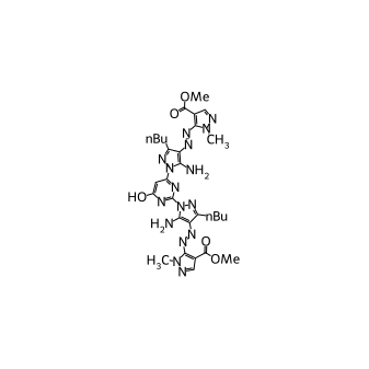 CCCCc1nn(-c2cc(O)nc(-n3nc(CCCC)c(/N=N/c4c(C(=O)OC)cnn4C)c3N)n2)c(N)c1/N=N/c1c(C(=O)OC)cnn1C